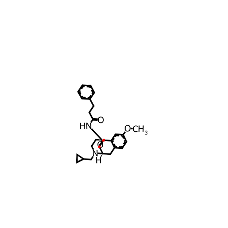 COc1ccc2c(c1)[C@]13CCN(CC4CC4)[C@H](C2)C1OCC(NC(=O)CCc1ccccc1)C3